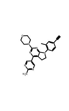 C#Cc1ccc(N2CCc3c(-c4cnc(N)nc4)nc(N4CCOCC4)nc32)c(C)c1